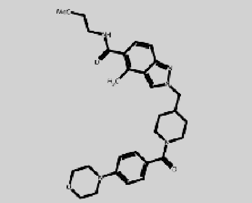 COCCNC(=O)c1ccc2nn(CC3CCN(C(=O)c4ccc(N5CCOCC5)cc4)CC3)cc2c1C